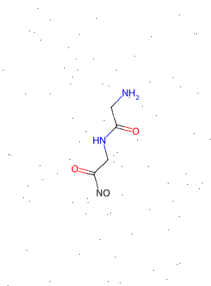 NCC(=O)NCC(=O)N=O